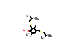 CCCCC(CC)CSCc1cc(C(C)(C)C)c(O)c(CSCC(CC)CCCC)c1C